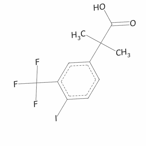 CC(C)(C(=O)O)c1ccc(I)c(C(F)(F)F)c1